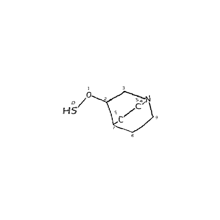 SOC1CN2CCC1CC2